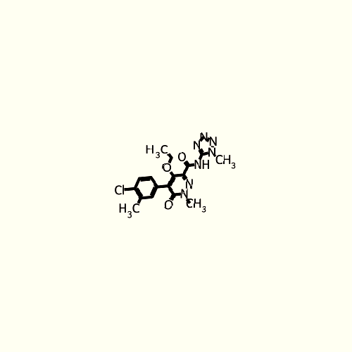 CCOc1c(C(=O)Nc2nnnn2C)nn(C)c(=O)c1-c1ccc(Cl)c(C)c1